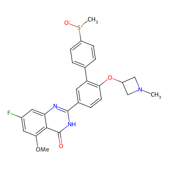 COc1cc(F)cc2nc(-c3ccc(OC4CN(C)C4)c(-c4ccc([S+](C)[O-])cc4)c3)[nH]c(=O)c12